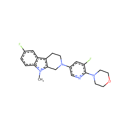 Cn1c2c(c3cc(F)ccc31)CCN(c1cnc(N3CCOCC3)c(F)c1)C2